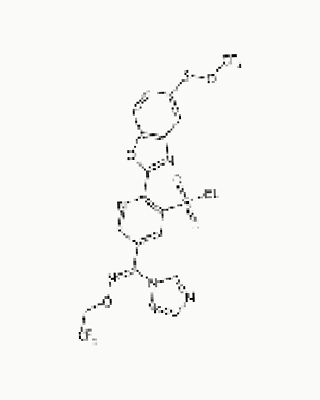 CCS(=O)(=O)c1cc(/C(=N/OCC(F)(F)F)n2cncn2)cnc1-c1nc2cc(SOC(F)(F)F)ccc2o1